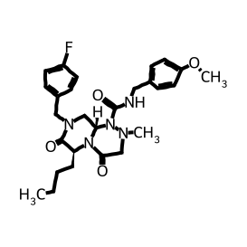 CCCC[C@H]1C(=O)N(Cc2ccc(F)cc2)C[C@H]2N1C(=O)CN(C)N2C(=O)NCc1ccc(OC)cc1